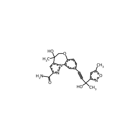 Cc1cc(C(C)(O)C#Cc2ccc3c(c2)-n2nc(C(N)=O)cc2C(C)(O)CO3)no1